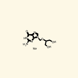 Nc1nc2c(ncn2COC(CO)CO)c(=O)[nH]1.[Na]